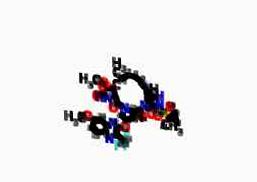 COC[C@@H]1C[C@H](C)CC/C=C\[C@@H]2C[C@@]2(C(=O)NS(=O)(=O)C2(C)CC2)NC(=O)[C@@H]2C[C@@H](Oc3nc4cc(OC)ccc4nc3C(F)(F)F)CN2C(=O)[C@H]1NC(=O)O